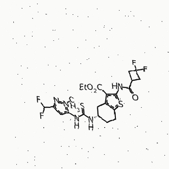 CCOC(=O)c1c(NC(=O)C2CC(F)(F)C2)sc2c1C[C@@H](NC(=S)Nc1cc(C(F)F)nn1C)CC2